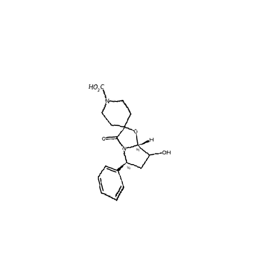 O=C(O)N1CCC2(CC1)O[C@@H]1C(O)C[C@@H](c3ccccc3)N1C2=O